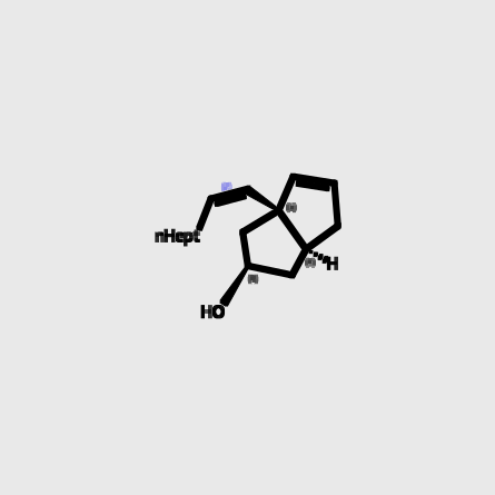 CCCCCCC/C=C\[C@@]12C=CC[C@H]1C[C@@H](O)C2